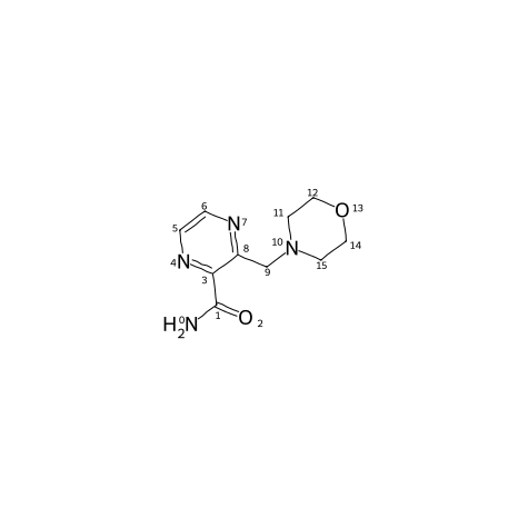 NC(=O)c1nccnc1CN1CCOCC1